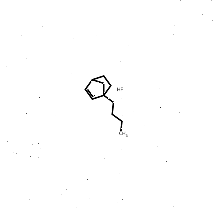 CCCCC12C=CC(CC1)C2.F